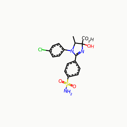 CC1N(c2ccc(Cl)cc2)C(c2ccc(S(N)(=O)=O)cc2)=NC1(O)C(=O)O